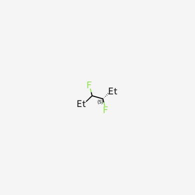 [CH2]CC(F)[C@@H](F)CC